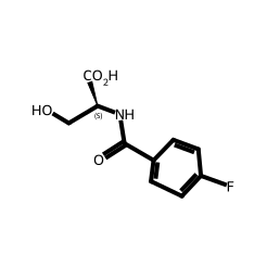 O=C(N[C@@H](CO)C(=O)O)c1ccc(F)cc1